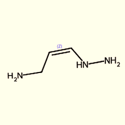 NC/C=C\NN